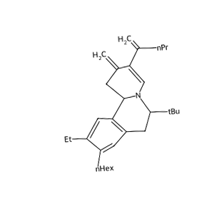 C=C(CCC)C1=CN2C(CC1=C)c1cc(CC)c(CCCCCC)cc1CC2C(C)(C)C